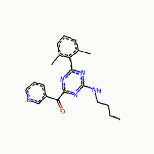 CCCCNc1nc(C(=O)c2cccnc2)nc(-c2c(C)cccc2C)n1